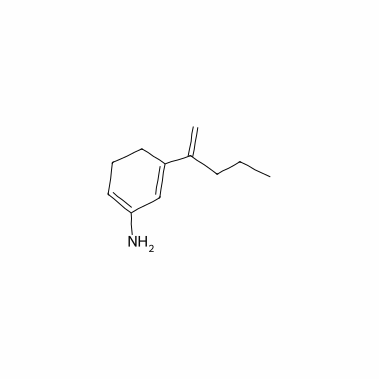 C=C(CCC)C1=CC(N)=CCC1